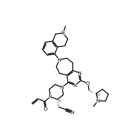 C=CC(=O)N1CCN(c2nc(OC[C@@H]3CCCN3C)nc3c2CCN(c2cccc4c2CCN(C)C4)CC3)C[C@@H]1CC#N